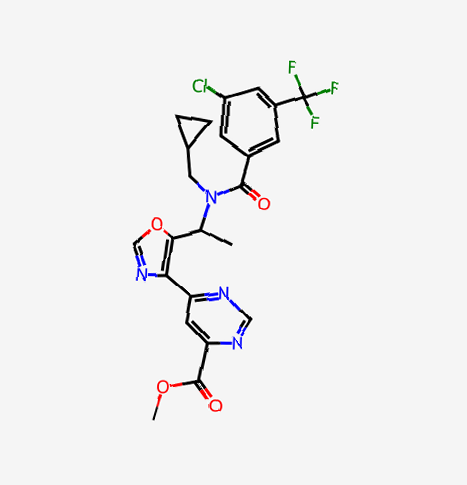 COC(=O)c1cc(-c2ncoc2C(C)N(CC2CC2)C(=O)c2cc(Cl)cc(C(F)(F)F)c2)ncn1